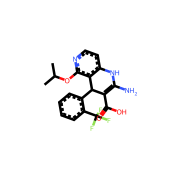 CC(C)Oc1nccc2c1C(c1ccccc1C(F)(F)F)C(C(=O)O)=C(N)N2